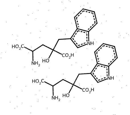 NC(CC(O)(Cc1c[nH]c2ccccc12)C(=O)O)C(=O)O.NC(CC(O)(Cc1c[nH]c2ccccc12)C(=O)O)C(=O)O